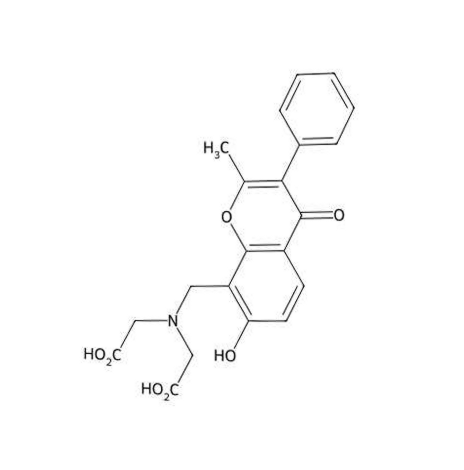 Cc1oc2c(CN(CC(=O)O)CC(=O)O)c(O)ccc2c(=O)c1-c1ccccc1